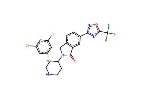 O=C1c2cc(-c3noc(C(F)(F)F)n3)ccc2CN1C1CCNC[C@@H]1c1cc(Cl)cc(Cl)c1